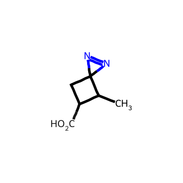 CC1C(C(=O)O)CC12N=N2